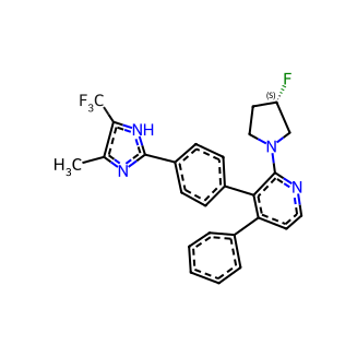 Cc1nc(-c2ccc(-c3c(-c4ccccc4)ccnc3N3CC[C@H](F)C3)cc2)[nH]c1C(F)(F)F